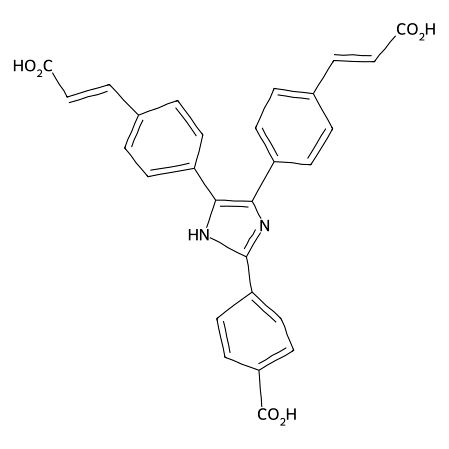 O=C(O)/C=C/c1ccc(-c2nc(-c3ccc(C(=O)O)cc3)[nH]c2-c2ccc(/C=C/C(=O)O)cc2)cc1